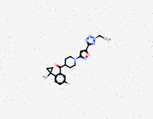 CC1(c2ccc(F)cc2C(=O)C2CCN(c3cc(-c4nnn(CC(=O)O)n4)on3)CC2)CC1